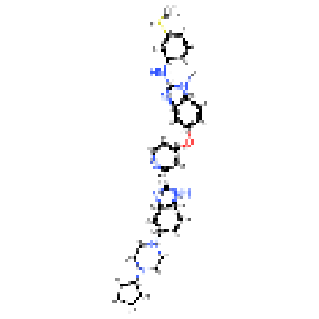 Cn1c(Nc2cccc(SC(F)(F)F)c2)nc2cc(Oc3ccnc(-c4nc5cc(N6CCN(C7CCCC7)CC6)ccc5[nH]4)c3)ccc21